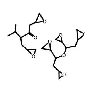 C1OC1CC(OC(CC1CO1)C1CO1)C1CO1.CC(C)C(CC1CO1)C(=O)CC1CO1